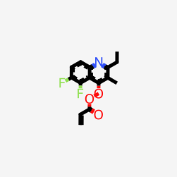 C=CC(=O)OOc1c(C)c(CC)nc2ccc(F)c(F)c12